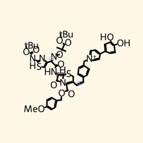 COc1ccc(COC(=O)C2=C(/C=C\c3ccc(C[n+]4ccc(-c5ccc(O)c(O)c5)cc4)cc3)CS[C@@H]3[C@H](NC(=O)/C(=N\OC(C)(C)C(=O)OC(C)(C)C)c4csc(NC(=O)OC(C)(C)C)n4)C(=O)N23)cc1